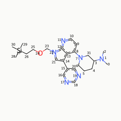 CN(C)C1CCCN(c2ccnc3c2c(-c2cncnc2)cn3COCC[Si](C)(C)C)C1